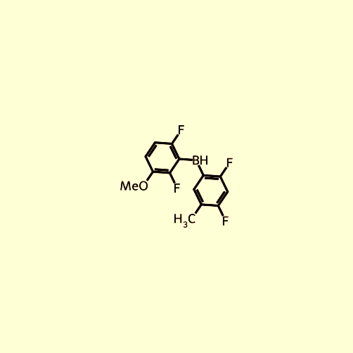 COc1ccc(F)c(Bc2cc(C)c(F)cc2F)c1F